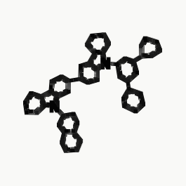 c1ccc(-c2cc(-c3ccccc3)cc(-n3c4ccccc4c4cc(-c5ccc6c7ccccc7n(-c7ccc8ccccc8c7)c6c5)ccc43)c2)cc1